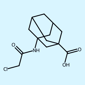 O=C(CCl)NC12CC3CC(C1)CC(C(=O)O)(C3)C2